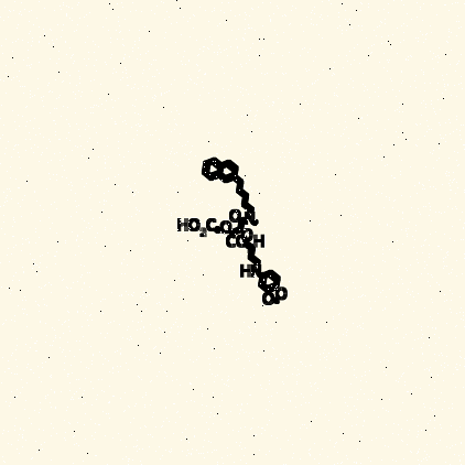 CN(CCCCCc1ccc2ccccc2c1)C(=O)C(OCCCCNc1ccc2c(c1)OCO2)C(OCC(=O)O)C(=O)O